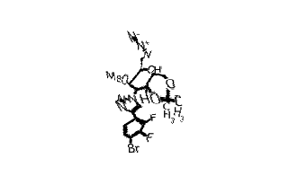 CO[C@@H]1C(n2cc(-c3ccc(Br)c(F)c3F)nn2)[C@H]2OC(C)(C)OC[C@H]2O[C@@H]1CN=[N+]=[N-]